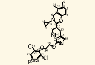 Cc1cccc(CN(C(=O)C(CN)Cc2cnc(OCCOc3c(Cl)cc(F)cc3Cl)s2)C2CC2)c1C